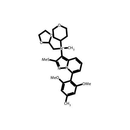 COc1cc(C)cc(OC)c1-c1cccc2c([N+](C)(CC3OCCO3)C3CCOCC3)c(SC)nn12